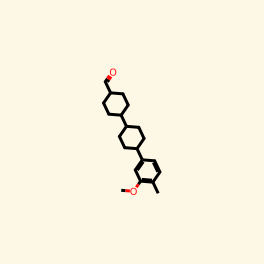 COc1cc(C2CCC(C3CCC(C=O)CC3)CC2)ccc1C